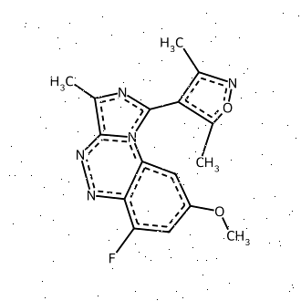 COc1cc(F)c2nnc3c(C)nc(-c4c(C)noc4C)n3c2c1